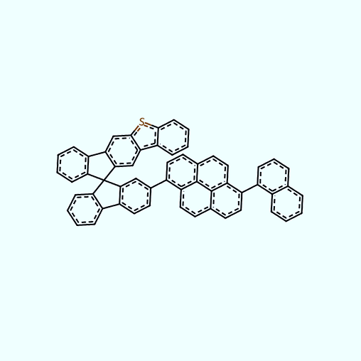 c1ccc2c(c1)-c1ccc(-c3ccc4ccc5c(-c6cccc7ccccc67)ccc6ccc3c4c65)cc1C21c2ccccc2-c2cc3sc4ccccc4c3cc21